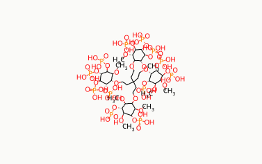 CO[C@@H]1[C@@H](OP(=O)(O)O)[C@H](OC)[C@H](OCCC(CCOC2[C@@H](OC)[C@H](OP(=O)(O)O)[C@@H](OP(=O)(O)O)[C@H](OP(=O)(O)O)[C@H]2OC)(CCO[C@H]2[C@@H](OC)[C@H](OP(=O)(O)O)[C@@H](OP(=O)(O)O)[C@H](OP(=O)(O)O)[C@H]2OP(=O)(O)O)CCO[C@H]2[C@@H](OP(=O)(O)O)[C@H](OC)[C@@H](OC)[C@H](OP(=O)(O)O)[C@H]2OP(=O)(O)O)[C@H](OC)[C@H]1OP(=O)(O)O